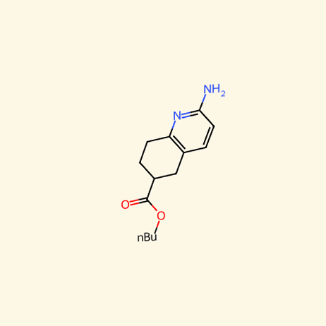 CCCCOC(=O)C1CCc2nc(N)ccc2C1